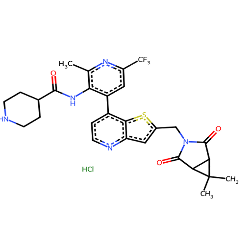 Cc1nc(C(F)(F)F)cc(-c2ccnc3cc(CN4C(=O)C5C(C4=O)C5(C)C)sc23)c1NC(=O)C1CCNCC1.Cl